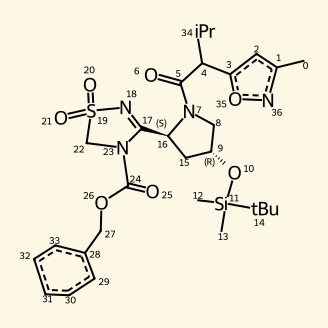 Cc1cc(C(C(=O)N2C[C@H](O[Si](C)(C)C(C)(C)C)C[C@H]2C2=NS(=O)(=O)CN2C(=O)OCc2ccccc2)C(C)C)on1